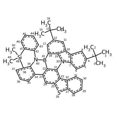 CC(C)(C)c1ccc2c(c1)c1cc(C(C)(C)C)cc3c1n2-c1c2c(cc4sc5ccccc5c14)-c1cccc4c1N(B23)c1ccccc1[Si]4(C)C